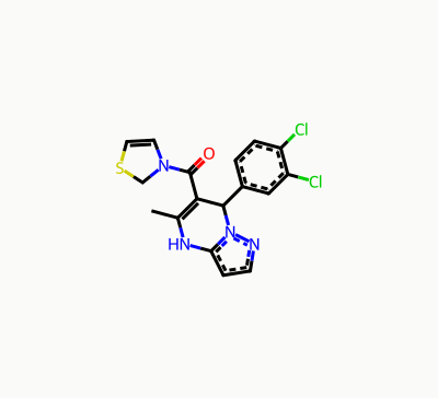 CC1=C(C(=O)N2C=CSC2)C(c2ccc(Cl)c(Cl)c2)n2nccc2N1